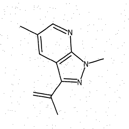 C=C(C)c1nn(C)c2ncc(C)cc12